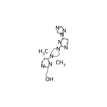 C[C@@H]1CN(c2nccc(-n3cncn3)n2)C[C@H](C)N1c1ccnc(CCO)n1